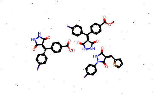 COC(=O)c1ccc(C(=C2C(=O)NNC2=O)c2ccc(I)cc2)cc1.O=C1NN(c2ccc(I)cc2)C(=O)C1=Cc1cccs1.O=C1NNC(=O)C1=C(c1ccc(I)cc1)c1ccc(C(=O)O)cc1